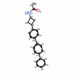 CC(C)C(=O)NC1CC(c2ccc(-c3ccc(-c4ccccc4)cc3)cc2)C1